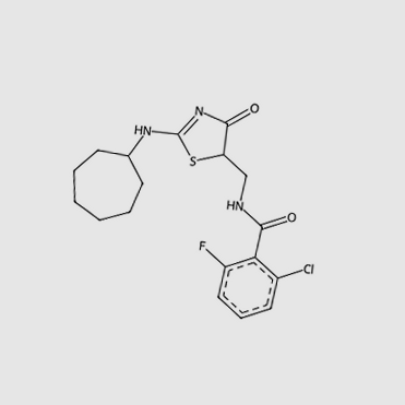 O=C(NCC1SC(NC2CCCCCC2)=NC1=O)c1c(F)cccc1Cl